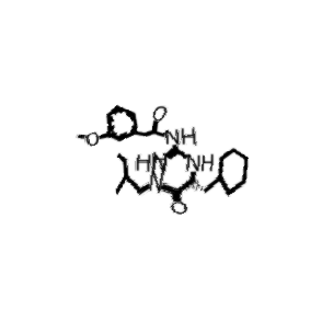 CCC(C)CNC(=O)[C@@H](CC1CCCCC1)NC(=N)NC(=O)Cc1cccc(OC)c1